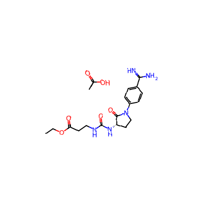 CC(=O)O.CCOC(=O)CCNC(=O)N[C@H]1CCN(c2ccc(C(=N)N)cc2)C1=O